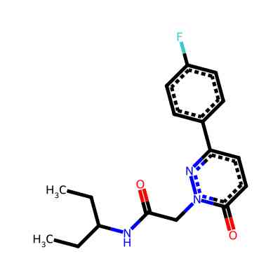 CCC(CC)NC(=O)Cn1nc(-c2ccc(F)cc2)ccc1=O